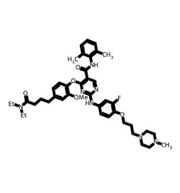 CCN(CC)C(=O)CCCc1ccc(Oc2nc(Nc3ccc(OCCCN4CCN(C)CC4)c(F)c3)ncc2C(=O)Nc2c(C)cccc2C)c(OC)c1